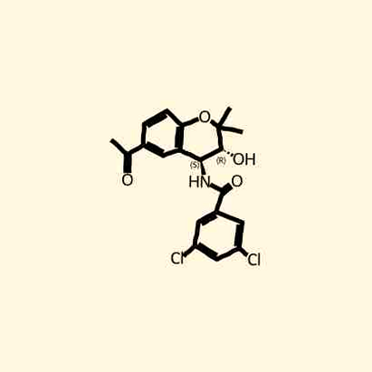 CC(=O)c1ccc2c(c1)[C@H](NC(=O)c1cc(Cl)cc(Cl)c1)[C@@H](O)C(C)(C)O2